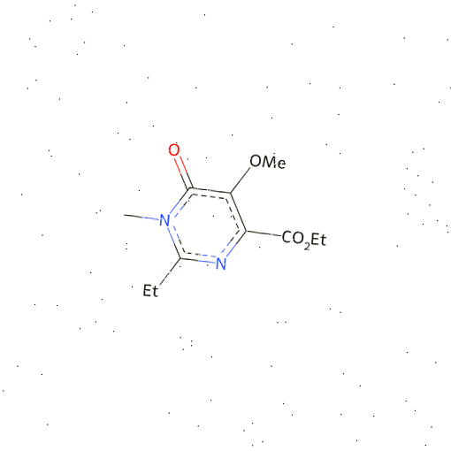 CCOC(=O)c1nc(CC)n(C)c(=O)c1OC